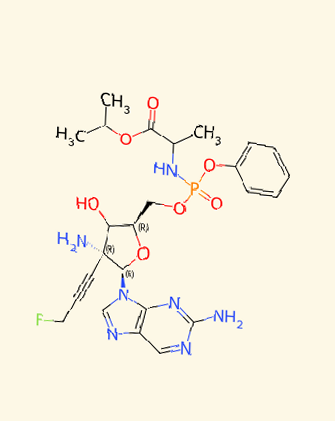 CC(C)OC(=O)C(C)NP(=O)(OC[C@H]1O[C@@H](n2cnc3cnc(N)nc32)[C@@](N)(C#CCF)C1O)Oc1ccccc1